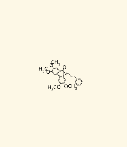 COc1cc2c(=O)n(CCCc3ccccc3)c3cc(OC)c(OC)cc3c2cc1OC